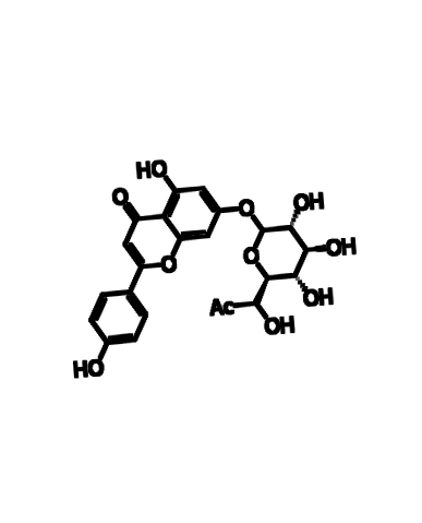 CC(=O)C(O)[C@H]1OC(Oc2cc(O)c3c(=O)cc(-c4ccc(O)cc4)oc3c2)[C@H](O)[C@@H](O)[C@@H]1O